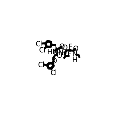 CCNC(=O)C(F)(F)C(=O)[C@@H](NC(=O)[C@H](Cc1ccc(Cl)c(Cl)c1)NC(=O)COc1cc(Cl)cc(Cl)c1)C(C)C